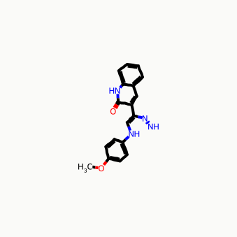 COc1ccc(N/C=C(\N=N)c2cc3ccccc3[nH]c2=O)cc1